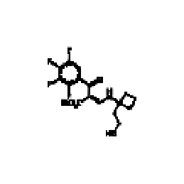 CCOC(=O)/C(=C/NC1(CCO)CCC1)C(=O)c1cc(F)c(F)c(F)c1F